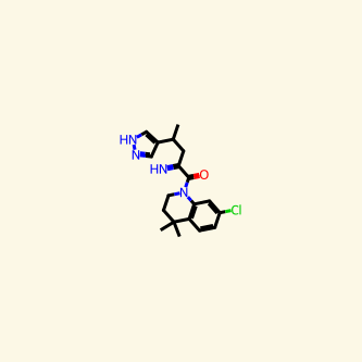 CC(CC(=N)C(=O)N1CCC(C)(C)c2ccc(Cl)cc21)c1cn[nH]c1